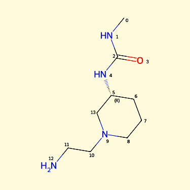 CNC(=O)N[C@@H]1CCCN(CCN)C1